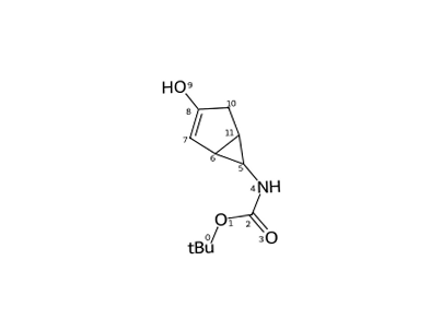 CC(C)(C)OC(=O)NC1C2C=C(O)CC21